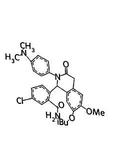 CCC(C)Oc1cc2c(cc1OC)CC(=O)N(c1ccc(N(C)C)cc1)C2c1ccc(Cl)cc1C(N)=O